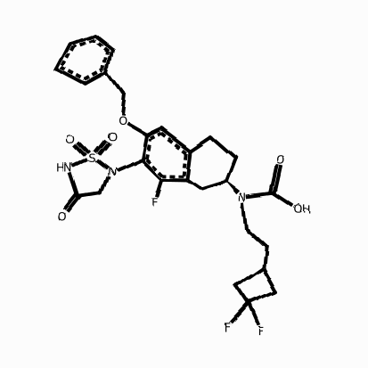 O=C1CN(c2c(OCc3ccccc3)cc3c(c2F)C[C@H](N(CCC2CC(F)(F)C2)C(=O)O)CC3)S(=O)(=O)N1